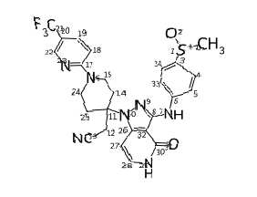 C[S+]([O-])c1ccc(Nc2nn(C3(CC#N)CCN(c4ccc(C(F)(F)F)cn4)CC3)c3cc[nH]c(=O)c23)cc1